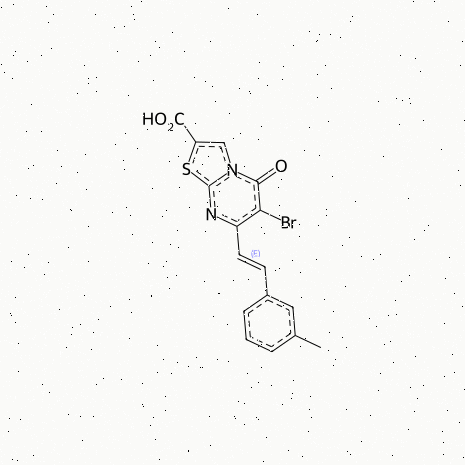 Cc1cccc(/C=C/c2nc3sc(C(=O)O)cn3c(=O)c2Br)c1